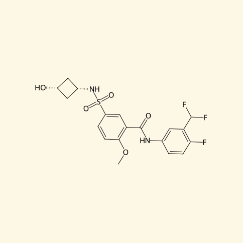 COc1ccc(S(=O)(=O)N[C@H]2C[C@@H](O)C2)cc1C(=O)Nc1ccc(F)c(C(F)F)c1